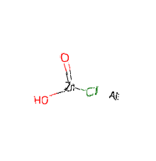 [Al].[O]=[Zn]([OH])[Cl]